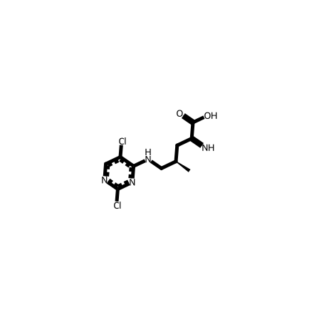 C[C@@H](CNc1nc(Cl)ncc1Cl)CC(=N)C(=O)O